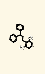 CCc1c[c]cc(CC)c1CCC(c1ccccc1)c1ccccc1